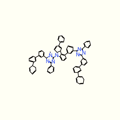 CN1C(N2c3cccc(-c4cccc(-c5nc(-c6ccccc6)nc(-c6cccc(-c7cccc(C8=CCC=CC=C8)c7)c6)n5)c4)c3C3C=C(c4ccccc4)C=CC32)=NC(c2ccccc2)=NC1c1cccc(-c2cccc(C3C=CC=CC3)c2)c1